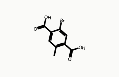 Cc1cc(C(=O)O)c(Br)cc1C(=O)O